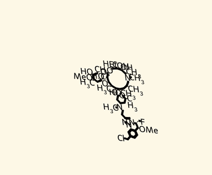 CC[C@H]1OC(=O)[C@H](C)[C@@H](O[C@H]2C[C@@](C)(OC)[C@@H](O)[C@H](C)O2)[C@H](C)[C@@H](O[C@H]2C[C@@H](N(C)CCc3cn([C@H](CF)[C@H](OC)c4ccc(CCl)cc4)nn3)C[C@@H](C)O2)[C@](C)(O)C[C@@H](C)CN(C)[C@H](C)[C@@H](O)[C@]1(C)O